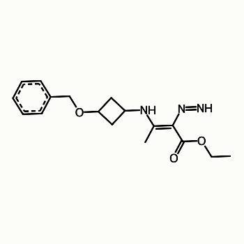 CCOC(=O)/C(N=N)=C(\C)NC1CC(OCc2ccccc2)C1